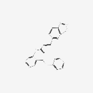 O=C(C=Cc1ccc2cn[nH]c2c1)Nc1ccccc1COc1ccccc1